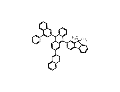 CC1(C)c2ccccc2-c2ccc(-c3c4ccccc4c(-c4cc(-c5ccccc5)c5ccccc5n4)c4ccc(-c5ccc6ccccc6c5)cc34)cc21